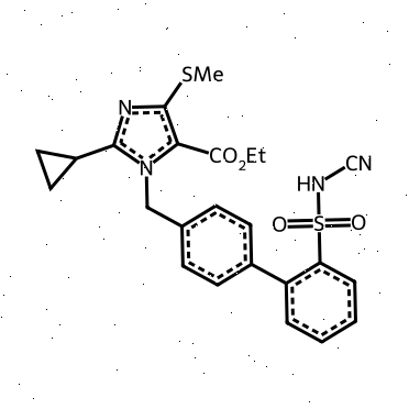 CCOC(=O)c1c(SC)nc(C2CC2)n1Cc1ccc(-c2ccccc2S(=O)(=O)NC#N)cc1